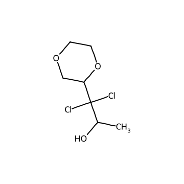 CC(O)C(Cl)(Cl)C1COCCO1